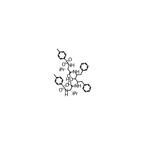 Cc1ccc(S(=O)(=O)N[C@H](C(=O)NC(Cc2ccccc2)C(O)C(Cc2ccccc2)NC(=O)[C@@H](NS(=O)(=O)c2ccc(C)cc2)C(C)C)C(C)C)cc1